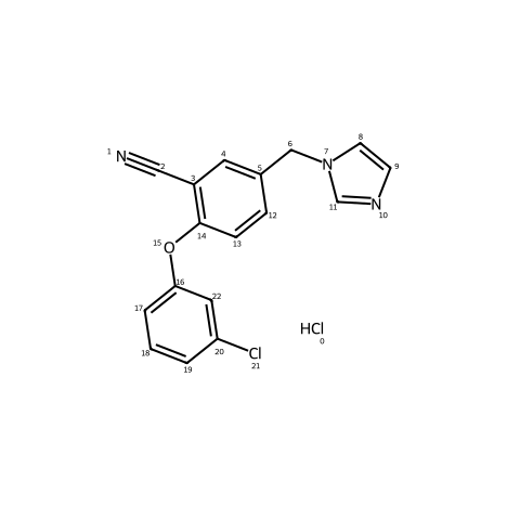 Cl.N#Cc1cc(Cn2ccnc2)ccc1Oc1cccc(Cl)c1